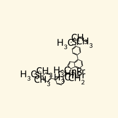 [CH2]=[Hf]([CH3])([CH3])([CH2]CC)([CH2]CC)([CH]1C=Cc2c(-c3ccc([Si](C)(C)C)cc3)cccc21)[CH]1C=Cc2c(-c3ccc([Si](C)(C)C)cc3)cccc21